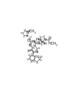 C=CC(=O)N1CC[C@@H]2[C@H]1CN2C1=NC(OC[C@@H]2CCCN2C)=NC2C(F)=C(c3cccc4c3C3CC3C4)N=CC12